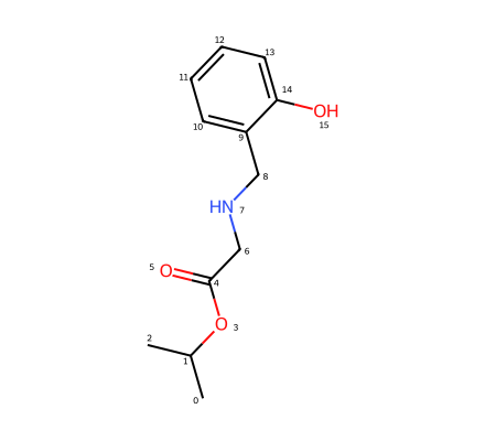 CC(C)OC(=O)CNCc1ccccc1O